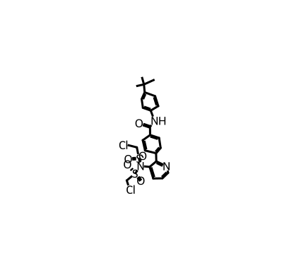 CC(C)(C)c1ccc(NC(=O)c2ccc(-c3ncccc3N(S(=O)(=O)CCl)S(=O)(=O)CCl)cc2)cc1